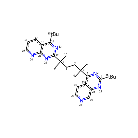 CC(C)(C)c1nc(C(C)(C)CCC(C)(C)c2nc(C(C)(C)C)c3cccnc3n2)c2ccncc2n1